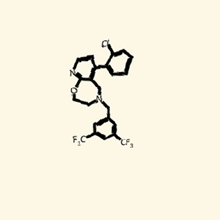 FC(F)(F)c1cc(CN2CCOc3nccc(-c4ccccc4Cl)c3C2)cc(C(F)(F)F)c1